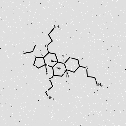 CC(C)[C@H]1CC[C@H]2[C@@H]3[C@H](OCCN)C[C@H]4CC(OCCN)CC[C@]4(C)[C@H]3C[C@H](OCCN)[C@]12C